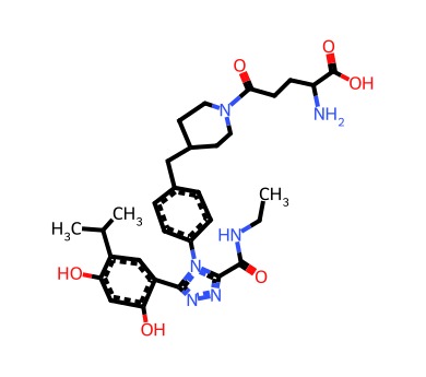 CCNC(=O)c1nnc(-c2cc(C(C)C)c(O)cc2O)n1-c1ccc(CC2CCN(C(=O)CCC(N)C(=O)O)CC2)cc1